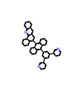 c1cncc(-c2cc(-c3cccnc3)cc(-c3c4ccccc4c(-c4cc5cc6ccccc6nc5c5ccccc45)c4ccccc34)c2)c1